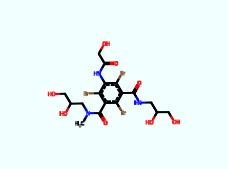 CN(CC(O)CO)C(=O)c1c(Br)c(NC(=O)CO)c(Br)c(C(=O)NCC(O)CO)c1Br